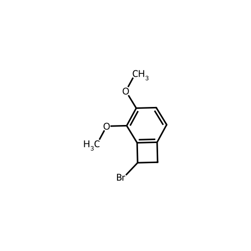 COc1ccc2c(c1OC)C(Br)C2